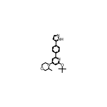 CC1COCCN1c1cc(OC(C)(C)C)nc(-c2ccc(-c3ccn[nH]3)cc2)c1